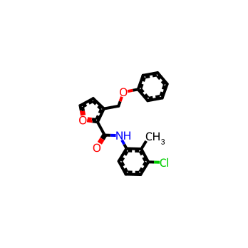 Cc1c(Cl)cccc1NC(=O)c1occc1COc1ccccc1